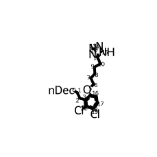 CCCCCCCCCCCCc1c(OCCCCCc2nnn[nH]2)ccc(Cl)c1Cl